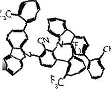 Cc1ccccc1-c1ccc2c3ccccc3n(-c3ccc(-c4c(C(F)(F)F)cccc4C(F)(F)F)c(-n4c5ccccc5c5ccc(-c6ccccc6C)cc54)c3C#N)c2c1